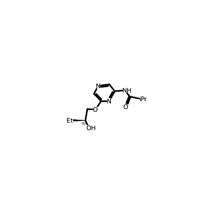 CC[C@H](O)COc1cncc(NC(=O)C(C)C)n1